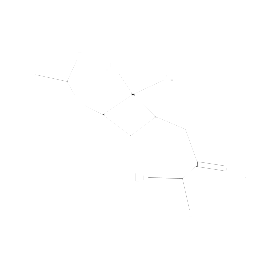 C=C(CC1CC(OC(CC)CC)C1(C)S)C(CC)CC